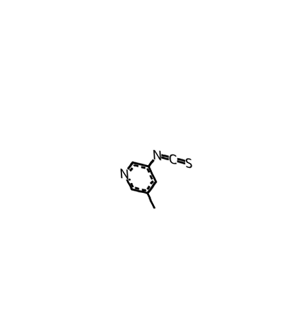 Cc1cncc(N=C=S)c1